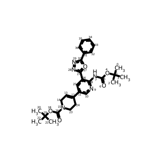 CC(C)(C)OC(=O)Nc1ncc(C2=CCN(C(=O)OC(C)(C)C)CC2)cc1-c1nnc(-c2ccccc2)o1